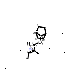 C/C=C(\C)[SiH2]OC1C2CCC1CC2